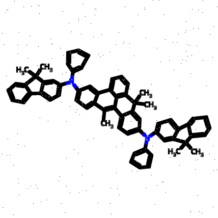 Cc1c2c3c(cccc3c3cc(N(c4ccccc4)c4ccc5c(c4)C(C)(C)c4ccccc4-5)ccc13)C(C)(C)c1cc(N(c3ccccc3)c3ccc4c(c3)C(C)(C)c3ccccc3-4)ccc1-2